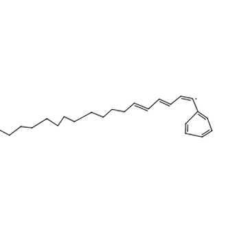 CCCCCCCCCCCC/C=C/C=C/C=[C]\c1ccccc1